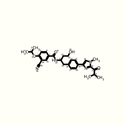 CC(C)Oc1ccc(C(=O)NC(CCO)Cc2ccc(-c3cn(C)c(C(=O)C(C)C)n3)cc2)cc1C#N